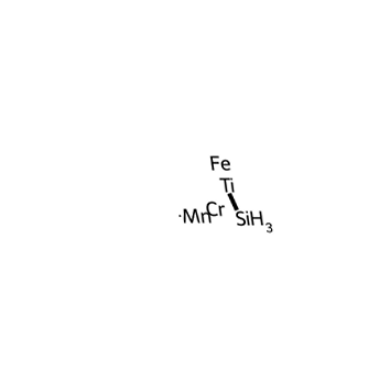 [Cr].[Fe].[Mn].[SiH3][Ti]